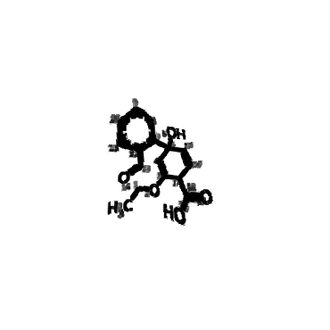 CCOC1=CC(O)(c2ccccc2C=O)C=CC1C(=O)O